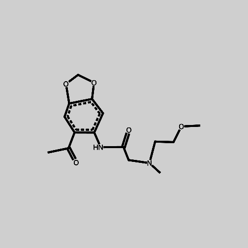 COCCN(C)CC(=O)Nc1cc2c(cc1C(C)=O)OCO2